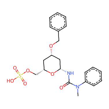 CN(C(=O)N[C@H]1C[C@@H](OCc2ccccc2)C[C@@H](COS(=O)(=O)O)O1)c1ccccc1